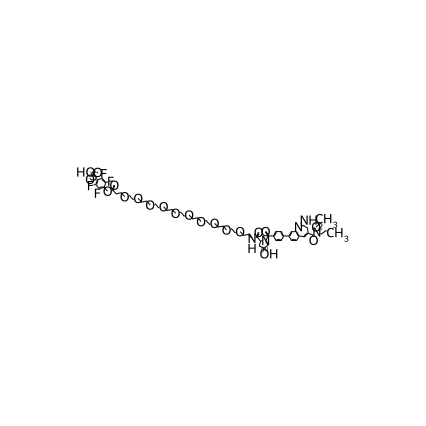 CCCN(OCC)C(=O)C1=Cc2ccc(-c3ccc(C(=O)N4C[C@H](O)CC4C(=O)NCCOCCOCCOCCOCCOCCOCCOCCOCCOCCOCCC(=O)Oc4c(F)c(F)c(S(=O)(=O)O)c(F)c4F)cc3)cc2N=C(N)C1